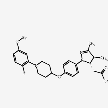 COC(=O)C[C@H]1[C@H](C)C(C(F)(F)F)=NN1c1ccc(OC2CCN(c3cc(OC(C)C)ccc3F)CC2)cc1